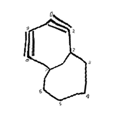 C1#CC2CCCCC2C#C1